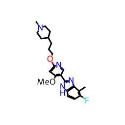 COc1cc(OCCCC2CCN(C)CC2)ncc1-c1nc2c(C)c(F)ccc2[nH]1